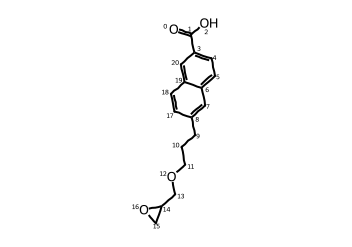 O=C(O)c1ccc2cc(CCCOCC3CO3)ccc2c1